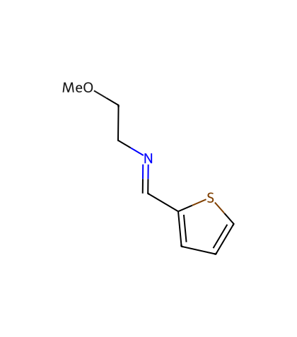 COCC/N=C/c1cccs1